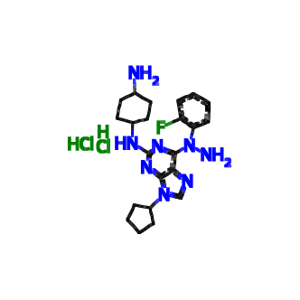 Cl.Cl.NC1CCC(Nc2nc(N(N)c3ccccc3F)c3ncn(C4CCCC4)c3n2)CC1